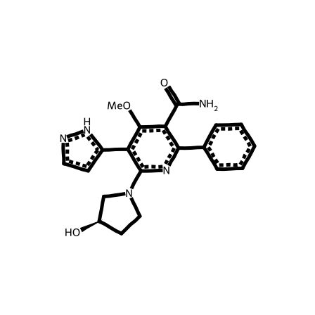 COc1c(C(N)=O)c(-c2ccccc2)nc(N2CC[C@@H](O)C2)c1-c1ccn[nH]1